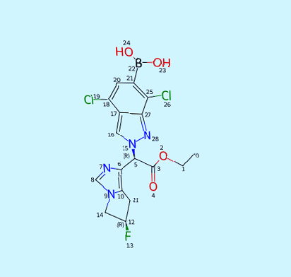 CCOC(=O)[C@@H](c1ncn2c1C[C@@H](F)C2)n1cc2c(Cl)cc(B(O)O)c(Cl)c2n1